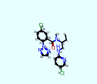 CCC(CNc1ccc(Cl)cn1)N(C)C(=O)c1cc(Cl)ccc1-n1nccn1